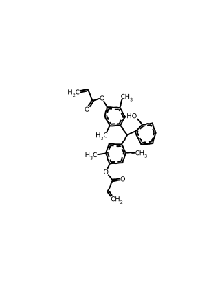 C=CC(=O)Oc1cc(C)c(C(c2cc(C)c(OC(=O)C=C)cc2C)c2ccccc2O)cc1C